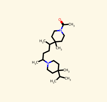 CC(=O)N1CCC(C)(C(C)CCC(C)N2CCC(C)(C(C)C)CC2)CC1